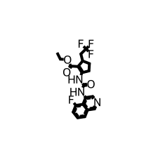 CCOC(=O)C1=C(NC(=O)Nc2cncc3cccc(F)c23)CCC1CC(F)(F)F